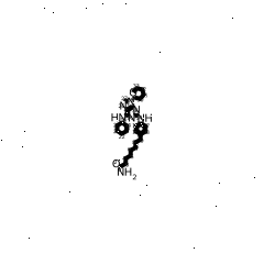 NC(=O)CCCCCCCc1ccc(Nc2nc(NC3CCCCC3)c3ncn(C4CCCCO4)c3n2)cc1